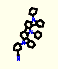 N#Cc1cccc(-n2c3ccccc3c3c2ccc2c4ccc5c(c6ccccc6n5-c5ccccc5)c4n(-c4ccccc4)c23)c1